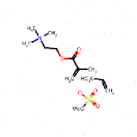 C=C(C)C(=O)OCC[N+](C)(C)C.C=CC(=O)O.COS(=O)(=O)[O-]